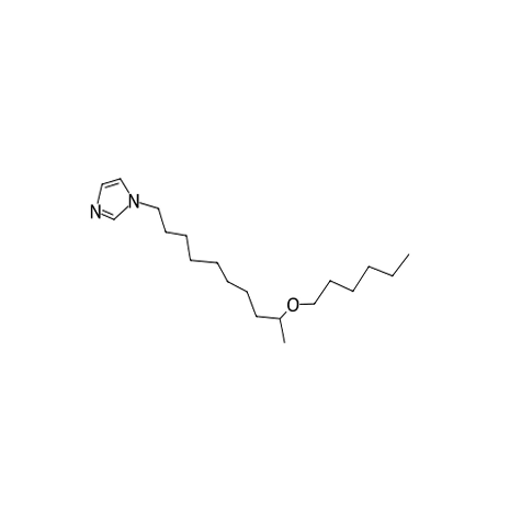 CCCCCCOC(C)CCCCCCCCn1ccnc1